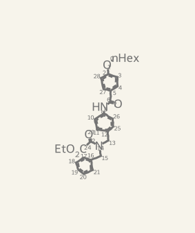 CCCCCCOc1ccc(C(=O)Nc2ccc(CN(Cc3ccccc3)C(=O)C(=O)OCC)cc2)cc1